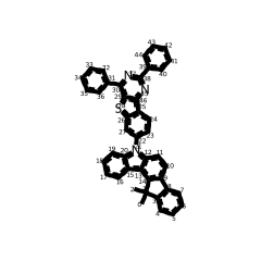 CC1(C)c2ccccc2-c2ccc3c(c21)c1ccccc1n3-c1ccc2c(c1)sc1c(-c3ccccc3)nc(-c3ccccc3)nc12